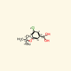 CC(C)(C)[Si](C)(C)Oc1cc(Cl)cc(B(O)O)c1